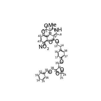 COC(=O)C1=C(C)NC(C)=C(C(=O)OCCc2ccc(OCC3OC(C)(C)OC3COCc3ccccc3)cc2)C1c1cccc([N+](=O)[O-])c1